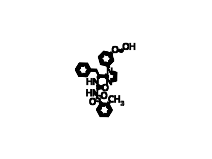 Cc1ccccc1S(=O)(=O)NC(=O)N[C@@H](Cc1ccccc1)c1nccn1-c1cccc(OCO)c1